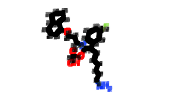 NCCCC/C=C/c1c(OC(=O)O)n(CCCOc2cccc3ccccc23)c2ccc(F)cc12